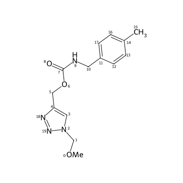 COCn1cc(COC(=O)NCc2ccc(C)cc2)nn1